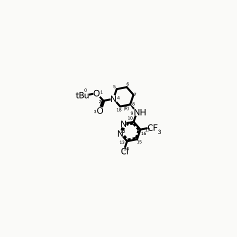 CC(C)(C)OC(=O)N1CCC[C@@H](Nc2nnc(Cl)cc2C(F)(F)F)C1